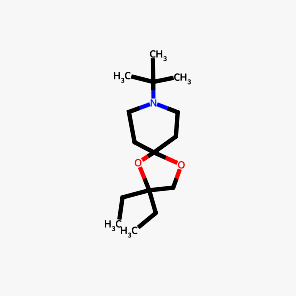 CCC1(CC)COC2(CCN(C(C)(C)C)CC2)O1